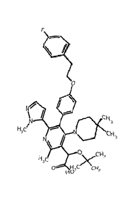 Cc1nc(-c2ccnn2C)c(-c2ccc(OCCc3ccc(F)cc3)cc2)c(N2CCC(C)(C)CC2)c1C(OC(C)(C)C)C(=O)O